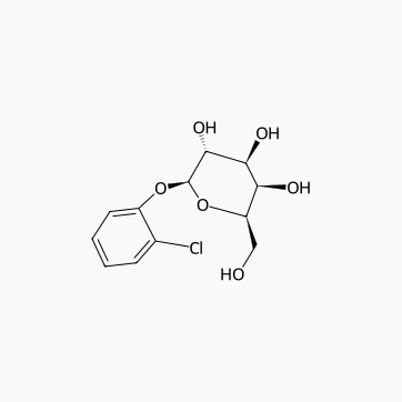 OC[C@H]1O[C@@H](Oc2ccccc2Cl)[C@H](O)[C@@H](O)[C@H]1O